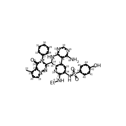 CCNc1ncc(-c2c(N)ncnc2NC(C)c2nn3ccc(C)c3c(=O)n2-c2ccccc2)cc1NS(=O)(=O)c1ccc(O)cc1